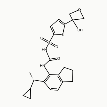 C[C@H](c1ccc2c(c1NC(=O)NS(=O)(=O)c1ccc(C3(O)COC3)s1)CCC2)C1CC1